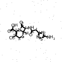 Nc1nc(CC(=O)N[C@@H]2C(=O)N3C(C(=O)O)=C(Cl)CS[C@@H]23)ns1